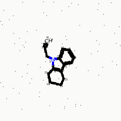 C#CCn1c2c(c3ccccc31)CCCC2